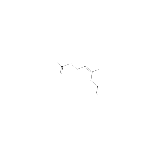 CC(=O)OC/C=C(/C)CCO